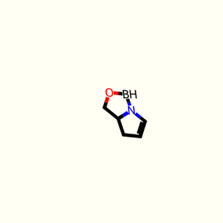 B1OCC2CC=CN12